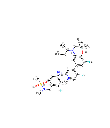 C=N/C(=C\C(=C(/C)F)c1cc(F)c2c(c1)N(C(C)CC)CC(C)(C)O2)Nc1ccc(CN(C)S(C)(=O)=O)c(F)c1